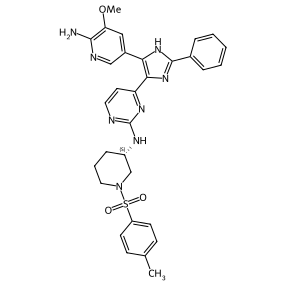 COc1cc(-c2[nH]c(-c3ccccc3)nc2-c2ccnc(N[C@H]3CCCN(S(=O)(=O)c4ccc(C)cc4)C3)n2)cnc1N